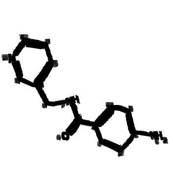 Nc1ccc(C(=O)NCc2cccnc2)cc1